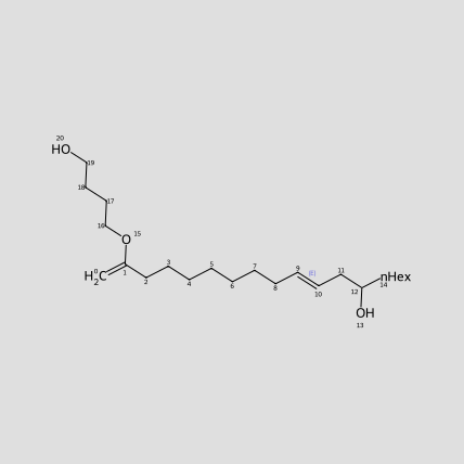 C=C(CCCCCCC/C=C/CC(O)CCCCCC)OCCCCO